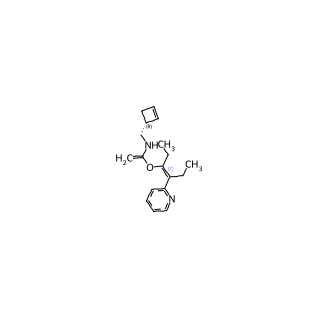 C=C(NC[C@H]1C=CC1)O/C(CC)=C(/CC)c1ccccn1